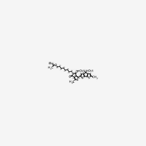 CCCCCCCCC1(CCCCCCCC)c2cc(C)sc2-c2sc(-c3sc(C)c4c3C(=O)N(CCCCCCCCOC(C)C(C)CC)C4=O)cc21